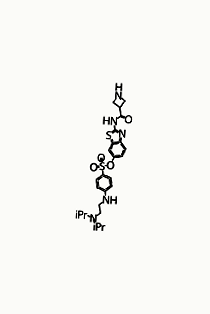 CC(C)N(CCNc1ccc(S(=O)(=O)Oc2ccc3nc(NC(=O)C4CNC4)sc3c2)cc1)C(C)C